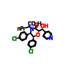 CCCC(C(=O)O)N1C(=O)[C@H]([C@H](O)c2ccncc2)O[C@@H](c2ccc(Cl)cc2)[C@H]1c1ccc(Cl)cc1